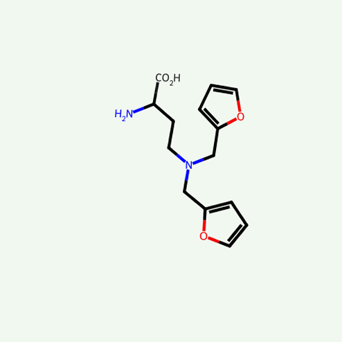 NC(CCN(Cc1ccco1)Cc1ccco1)C(=O)O